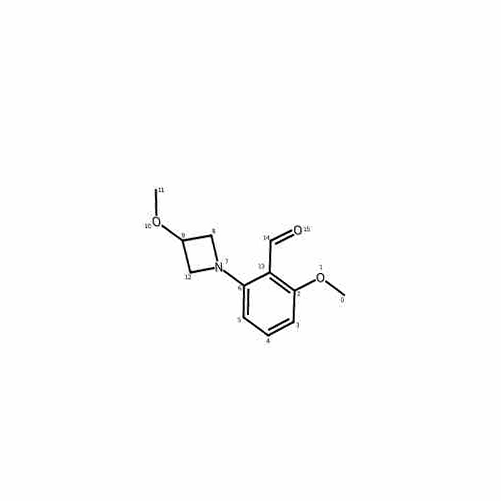 COc1cccc(N2CC(OC)C2)c1C=O